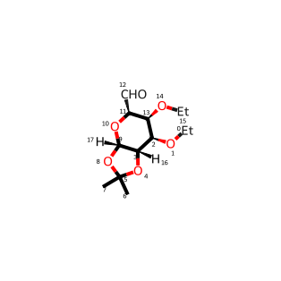 CCO[C@H]1[C@@H]2OC(C)(C)O[C@@H]2O[C@@H](C=O)[C@H]1OCC